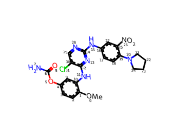 COc1ccc(OC(N)=O)cc1Nc1nc(Nc2ccc(N3CCCC3)c([N+](=O)[O-])c2)ncc1Cl